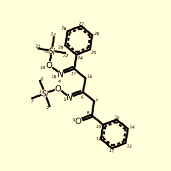 C[Si](C)(C)ON=C(CC(=O)c1ccccc1)CC(=NO[Si](C)(C)C)c1ccccc1